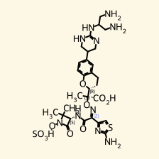 CC1(C)[C@H](NC(=O)/C(=N\O[C@](C)(C(=O)O)[C@H]2CCc3cc(C4CN=C(NC(CN)CN)NC4)ccc3O2)c2csc(N)n2)C(=O)N1OS(=O)(=O)O